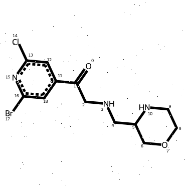 O=C(CNCC1COCCN1)c1cc(Cl)nc(Br)c1